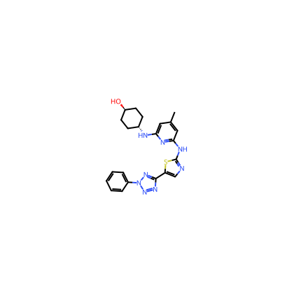 Cc1cc(Nc2ncc(-c3nnn(-c4ccccc4)n3)s2)nc(N[C@H]2CC[C@H](O)CC2)c1